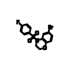 O=S(=O)(c1ccc(F)cc1)N1CCOc2ccc(Br)cc21